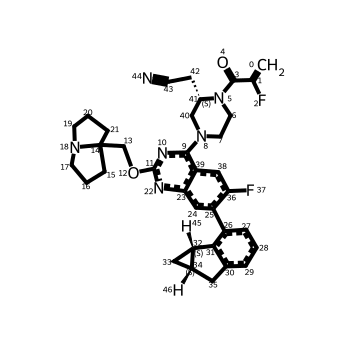 C=C(F)C(=O)N1CCN(c2nc(OCC34CCCN3CCC4)nc3cc(-c4cccc5c4[C@H]4C[C@H]4C5)c(F)cc23)C[C@@H]1CC#N